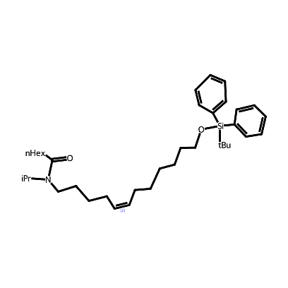 CCCCCCC(=O)N(CCCC/C=C\CCCCCCO[Si](c1ccccc1)(c1ccccc1)C(C)(C)C)C(C)C